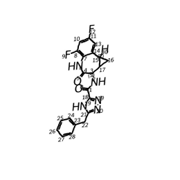 O=C(N[C@@H]1C(=O)Nc2c(F)cc(F)cc2[C@@H]2CC12)c1nnc(Cc2ccccc2)[nH]1